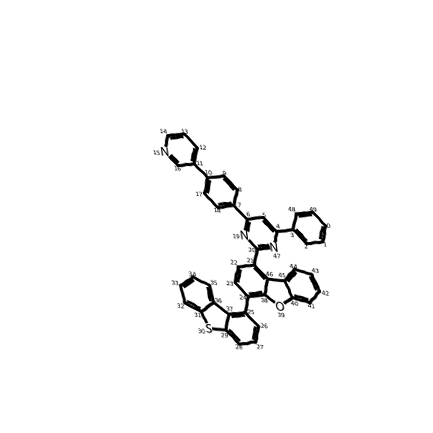 c1ccc(-c2cc(-c3ccc(-c4cccnc4)cc3)nc(-c3ccc(-c4cccc5sc6ccccc6c45)c4oc5ccccc5c34)n2)cc1